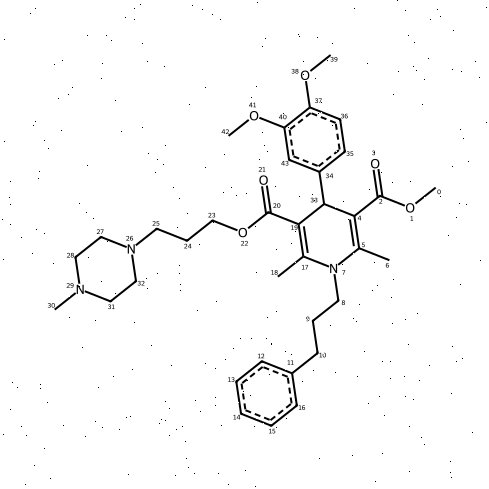 COC(=O)C1=C(C)N(CCCc2ccccc2)C(C)=C(C(=O)OCCCN2CCN(C)CC2)C1c1ccc(OC)c(OC)c1